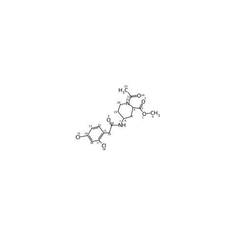 COC(=O)C1CC(NC(=O)Cc2ccc(Cl)cc2Cl)CCN1C(C)=O